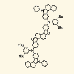 CC(C)(C)c1cc(N(c2ccc3c(c2)oc2ccc4c(ccc5oc6cc(N(c7cc(C(C)(C)C)cc(C(C)(C)C)c7)c7ccc8c(c7)c7c9ccccc9ccc7n8-c7ccccc7)ccc6c54)c23)c2ccc3c(c2)c2c4ccccc4ccc2n3-c2ccccc2)cc(C(C)(C)C)c1